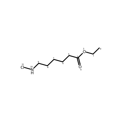 CCOC(=O)CCCCCNCl